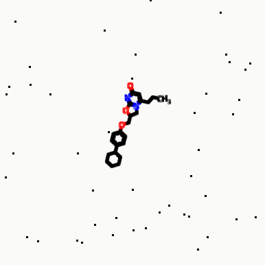 CCCc1cc(=O)nc2n1CC(COc1ccc(C3CCCCC3)cc1)O2